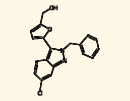 OCc1ccc(-c2c3ccc(Cl)cc3nn2Cc2ccccc2)o1